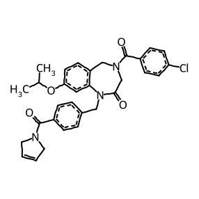 CC(C)Oc1ccc2c(c1)N(Cc1ccc(C(=O)N3CC=CC3)cc1)C(=O)CN(C(=O)c1ccc(Cl)cc1)C2